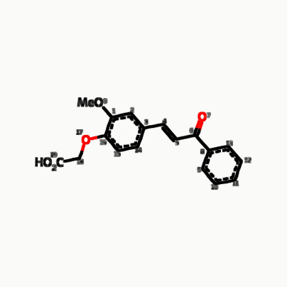 COc1cc(C=CC(=O)c2ccccc2)ccc1OCC(=O)O